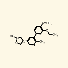 CCOc1cc(-c2cc([C@H]3COB(O)C3)cnc2C)ccc1OC